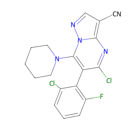 N#Cc1cnn2c(N3CCCCC3)c(-c3c(F)cccc3Cl)c(Cl)nc12